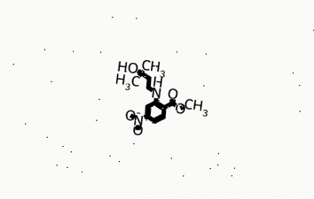 COC(=O)c1ccc([N+](=O)[O-])cc1NCCC(C)(C)O